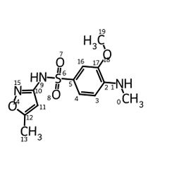 CNc1ccc(S(=O)(=O)Nc2cc(C)on2)cc1OC